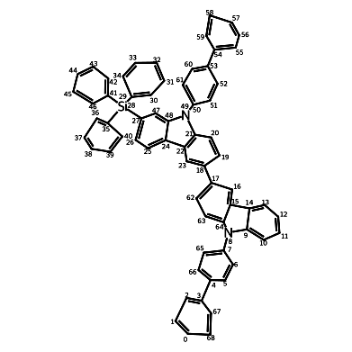 c1ccc(-c2ccc(-n3c4ccccc4c4cc(-c5ccc6c(c5)c5ccc([Si](c7ccccc7)(c7ccccc7)c7ccccc7)cc5n6-c5ccc(-c6ccccc6)cc5)ccc43)cc2)cc1